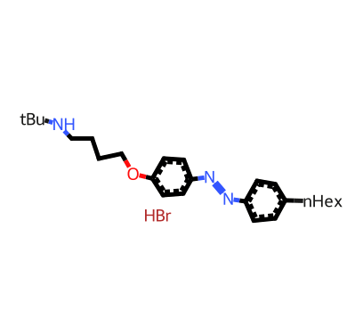 Br.CCCCCCc1ccc(N=Nc2ccc(OCCCCNC(C)(C)C)cc2)cc1